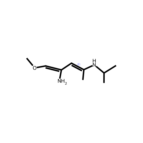 COC=C(N)/C=C(\C)NC(C)C